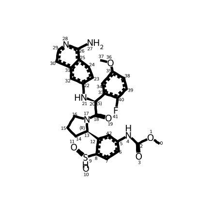 COC(=O)Nc1ccc([SH](=O)=O)c([C@H]2CCCN2C(=O)[C@@H](Nc2ccc3c(N)nccc3c2)c2cc(OC)ccc2F)c1